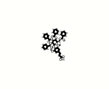 COc1cc(C=CC(=O)O)cc(OC)c1O[C@@H]1O[C@H](COC(=O)c2ccccc2)[C@H](OC(=O)c2ccccc2)[C@H](OC(=O)c2ccccc2)[C@H]1OC(=O)c1ccccc1